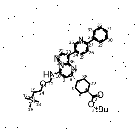 CC(C)(C)OC(=O)[C@H]1CC[C@H](c2cc(NCOCC[Si](C)(C)C)n3ncc(-c4ccc(-c5ccccc5)nc4)c3n2)CC1